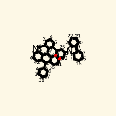 N#Cc1cccc(-c2cccc(-n3c4ccccc4c4ccccc43)c2)c1-c1c2ccccc2c(-c2ccccc2)c2ccccc12